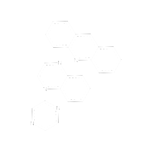 c1ccc2nc3ccccc3cc2c1.c1ccc2nccnc2c1.c1cnccn1